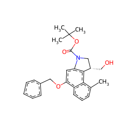 Cc1cccc2c(OCc3ccccc3)cc3c(c12)[C@@H](CO)CN3C(=O)OC(C)(C)C